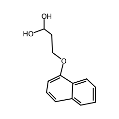 OC(O)CCOc1cccc2ccccc12